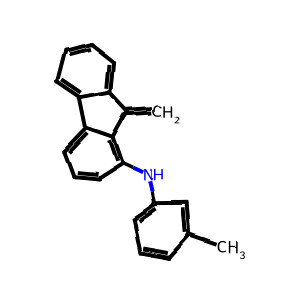 C=C1c2ccccc2-c2cccc(Nc3cccc(C)c3)c21